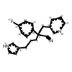 N#CC(CCCc1cc[nH]c1)(Cc1cccnc1)c1ccc(F)cc1